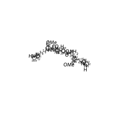 COC[C@@H](F)CN(CCCCc1ccc2c(n1)NCCC2)CC[C@H](Nc1cnc(-c2ccc(OC(=O)[C@@H](N)CCN(CCCCc3ccc4c(n3)NCCC4)C[C@H](F)COC)cc2)cn1)C(=O)O